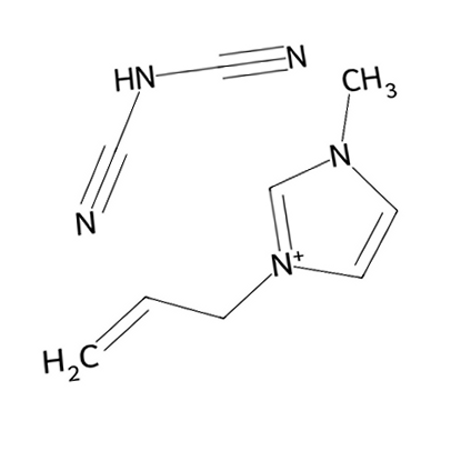 C=CC[n+]1ccn(C)c1.N#CNC#N